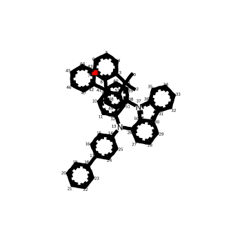 CC1(C)c2ccccc2-c2ccc(N(c3ccc(-c4ccccc4)cc3)c3cccc4c5ccccc5n(-c5ccc(-c6ccccc6)cc5)c34)cc21